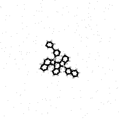 c1ccc(-c2cccc(-n3c4ccc5ccccc5c4c4c5ccccc5c5c(c6ccccc6n5-c5ccc6ccccc6c5)c43)c2)cc1